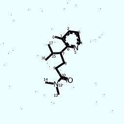 Cc1cccnc1C(CCC(=O)N(C)C)C(C)C